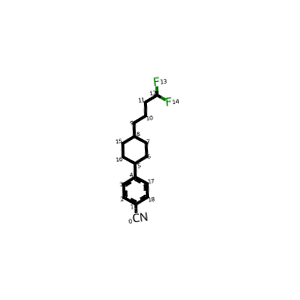 N#Cc1ccc(C2CCC(CCCC(F)F)CC2)cc1